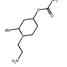 CC(C)(C)C1CC(OC(N)=O)CCN1CCN